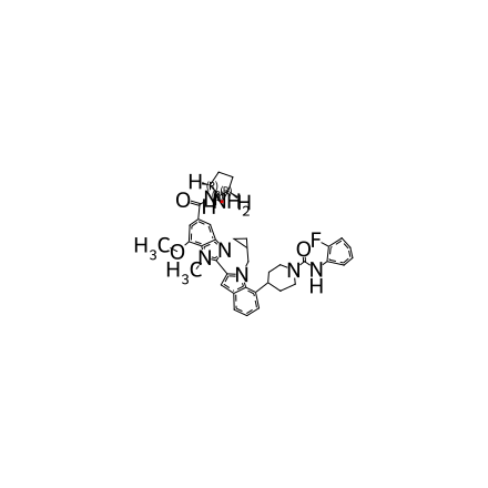 COc1cc(C(=O)N2C[C@H]3CC[C@@H]2[C@@H]3N)cc2nc(-c3cc4cccc(C5CCN(C(=O)Nc6ccccc6F)CC5)c4n3CC3CC3)n(C)c12